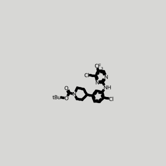 CC(C)(C)OC(=O)N1CCC(c2ccc(Cl)c(Nc3ncc(C(F)(F)F)c(Cl)n3)c2)CC1